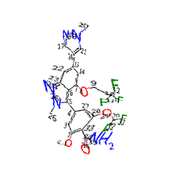 COc1cc(-c2c3c(OCC(F)(F)F)cc(-c4cnn(C)c4)cc3nn2C)cc(OC(F)F)c1C(N)=O